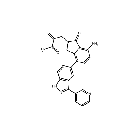 C=C(CN1Cc2c(-c3ccc4[nH]nc(-c5cccnc5)c4c3)ccc(N)c2C1=O)C(N)=O